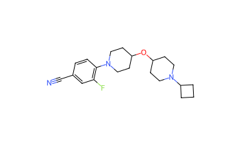 N#Cc1ccc(N2CCC(OC3CCN(C4CCC4)CC3)CC2)c(F)c1